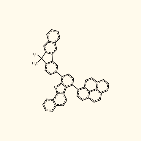 CC1(C)c2ccc(-c3ccc(-c4ccc5ccc6cccc7ccc4c5c67)c4c3oc3c5ccccc5ccc34)cc2-c2cc3ccccc3cc21